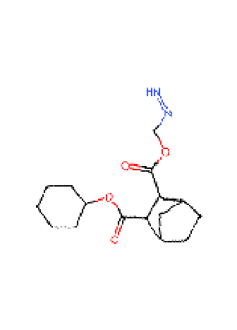 N=NCOC(=O)C1C2CCC(C2)C1C(=O)OC1CCCCC1